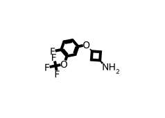 N[C@H]1C[C@H](Oc2ccc(F)c(OC(F)(F)F)c2)C1